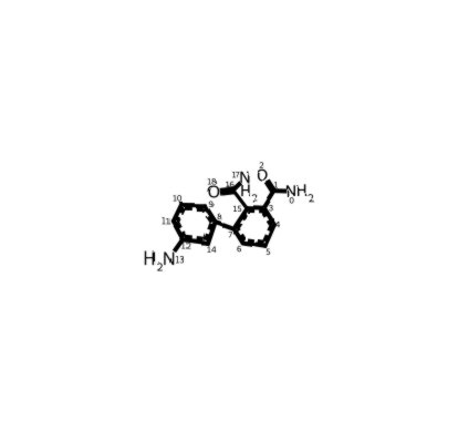 NC(=O)c1cccc(-c2cccc(N)c2)c1C(N)=O